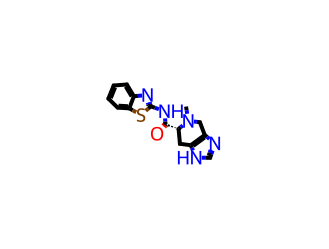 CN1Cc2nc[nH]c2C[C@@H]1C(=O)Nc1nc2ccccc2s1